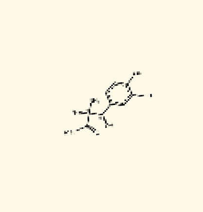 [2H][C@](N)(C(=O)OC)[C@H](O)c1ccc(O)c(O)c1